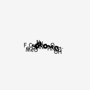 COc1cc2c(Nc3ccc(C=CC(=O)NC4CC[S+]([O-])C4O)cc3)ncnc2cc1OCC(F)(F)F